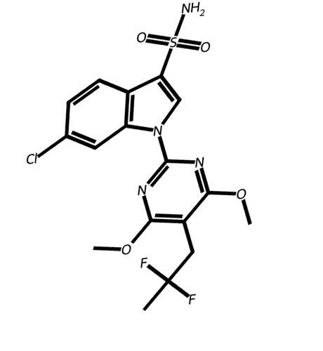 COc1nc(-n2cc(S(N)(=O)=O)c3ccc(Cl)cc32)nc(OC)c1CC(C)(F)F